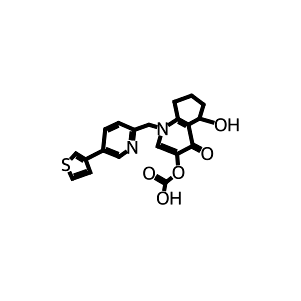 O=C(O)Oc1cn(Cc2ccc(-c3ccsc3)cn2)c2c(c1=O)C(O)CCC2